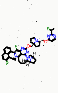 C#Cc1c(F)ccc2cccc(-c3nc4c5c(nc(OC[C@@]67CCCN6[C@H](COc6ccnc(C(C)F)n6)CC7)nc5c3F)N3C[C@H]5CC[C@H](N5)[C@H]3CCC4)c12